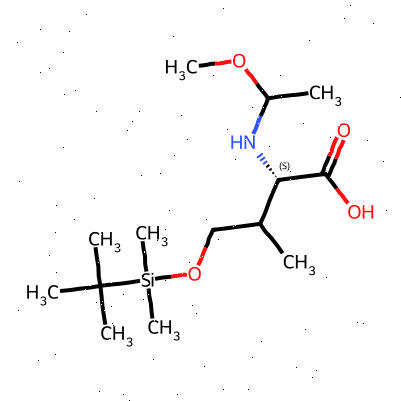 COC(C)N[C@H](C(=O)O)C(C)CO[Si](C)(C)C(C)(C)C